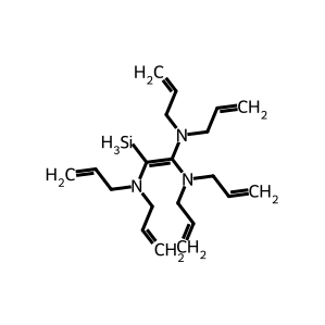 C=CCN(CC=C)C([SiH3])=C(N(CC=C)CC=C)N(CC=C)CC=C